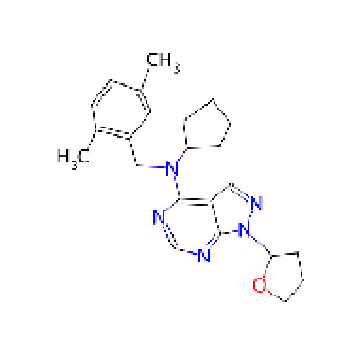 Cc1ccc(C)c(CN(c2ncnc3c2cnn3C2CCCO2)C2CCCC2)c1